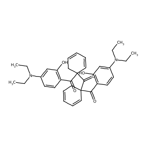 CCN(CC)c1ccc(C(=O)C2(C(=O)C3(C(=O)c4ccc(N(CC)CC)cc4O)C=CC=CC3)C=CC=CC2)c(O)c1